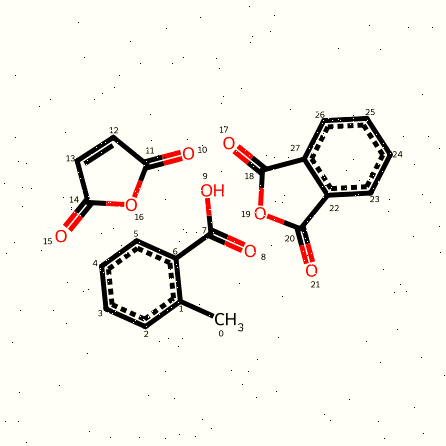 Cc1ccccc1C(=O)O.O=C1C=CC(=O)O1.O=C1OC(=O)c2ccccc21